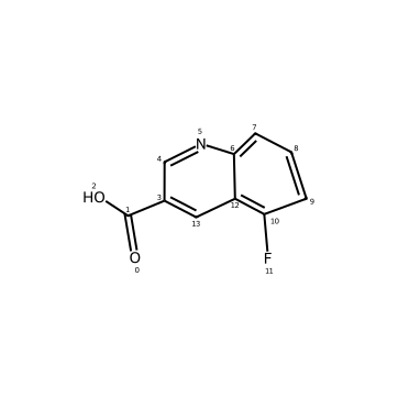 O=C(O)c1cnc2cccc(F)c2c1